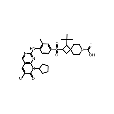 Cc1cc(S(=O)(=O)C2CC3(CCN(C(=O)O)CC3)C2C(C)(C)C)ccc1Nc1ncc2cc(Cl)c(=O)n(C3CCCC3)c2n1